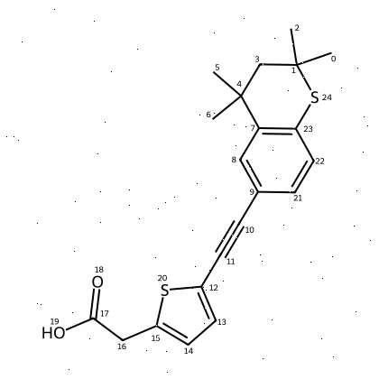 CC1(C)CC(C)(C)c2cc(C#Cc3ccc(CC(=O)O)s3)ccc2S1